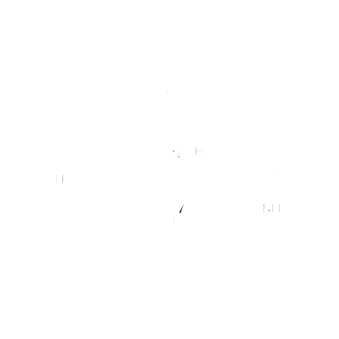 CCCN1CC(C[S+](C)[O-])C[C@H]2c3cccc4[nH]c(Cl)c(c34)C[C@@H]21